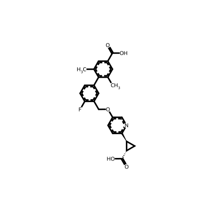 Cc1cc(C(=O)O)cc(C)c1-c1ccc(F)c(COc2ccc([C@H]3C[C@@H]3C(=O)O)nc2)c1